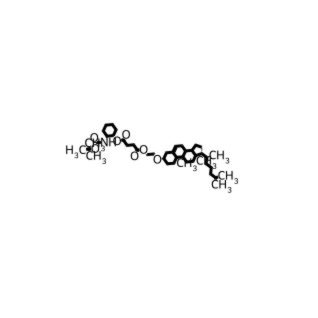 CC(C)CCC[C@@H](C)[C@H]1CCC2C3CC=C4C[C@@H](OCCOC(=O)CCC(=O)OC5CCCC[C@@H]5NC(=O)OC(C)(C)C)CC[C@]4(C)C3CC[C@@]21C